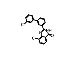 O=c1[nH]c(-c2cccc(-c3cccc(Cl)c3)c2)nc2c(Cl)cccc12